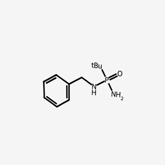 CC(C)(C)P(N)(=O)NCc1ccccc1